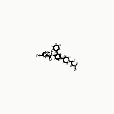 CC(C)c1c[nH]c(C(=O)Nc2ccc(C3CCN(C(=O)CN(C)C)CC3)cc2C2=CCCCC2)n1